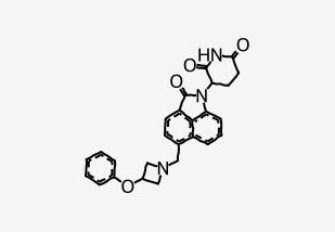 O=C1CCC(N2C(=O)c3ccc(CN4CC(Oc5ccccc5)C4)c4cccc2c34)C(=O)N1